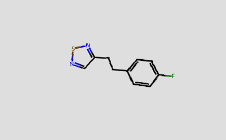 Fc1ccc(CCc2cnsn2)cc1